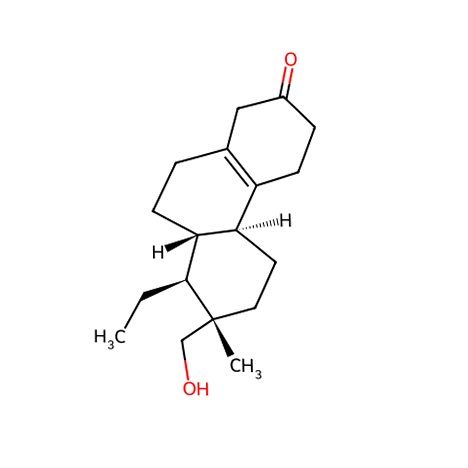 CC[C@H]1[C@@H]2CCC3=C(CCC(=O)C3)[C@H]2CC[C@]1(C)CO